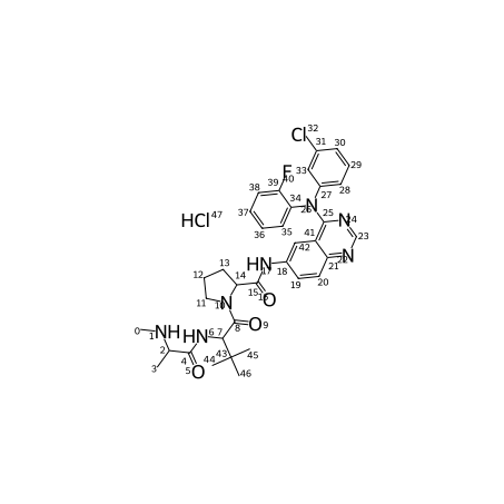 CNC(C)C(=O)NC(C(=O)N1CCCC1C(=O)Nc1ccc2ncnc(N(c3cccc(Cl)c3)c3ccccc3F)c2c1)C(C)(C)C.Cl